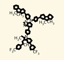 C=Cc1c(/C=C(\C)c2ccc(C(F)(F)F)cc2)c2cc(-c3ccc(C(F)(F)F)cc3)ccc2n1-c1ccc(-c2ccc(N(c3ccc(-c4ccc5c(c4)C(C)(C)c4ccccc4-5)cc3)c3ccc(-c4ccc5c(c4)C(C)(C)c4ccccc4-5)cc3)c3nsnc23)cc1